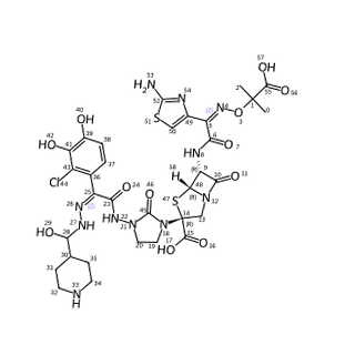 CC(C)(O/N=C(\C(=O)N[C@@H]1C(=O)N2C[C@@](C(=O)O)(N3CCN(NC(=O)/C(=N\NC(O)C4CCNCC4)c4ccc(O)c(O)c4Cl)C3=O)S[C@H]12)c1csc(N)n1)C(=O)O